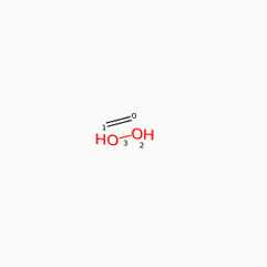 C=C.OO